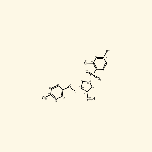 O=C(O)[C@@H]1C[C@@H](S(=O)(=O)c2ccc(F)cc2Cl)C[C@H]1COc1ccc(Cl)nc1